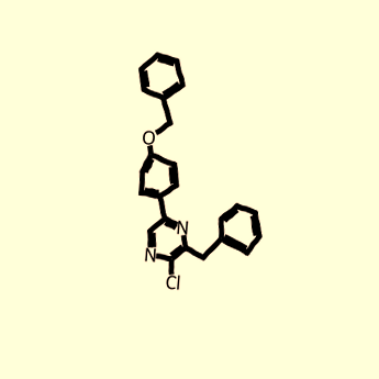 Clc1ncc(-c2ccc(OCc3ccccc3)cc2)nc1Cc1ccccc1